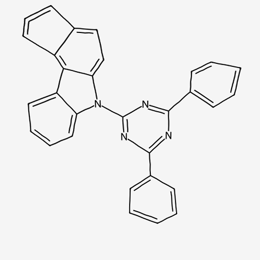 C1=Cc2ccc3c(c2C=1)c1ccccc1n3-c1nc(-c2ccccc2)nc(-c2ccccc2)n1